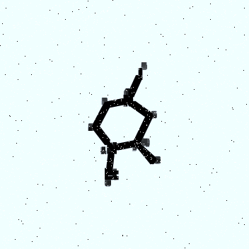 CCN1CCN(I)C[C@H]1C